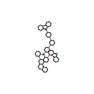 c1cc(-c2ccc(N(c3ccccc3-c3ccc4c(ccc5ccccc54)c3)c3ccccc3-c3cccc4oc5ccccc5c34)cc2)cc(-c2ccc(-n3c4ccccc4c4ccccc43)cc2)c1